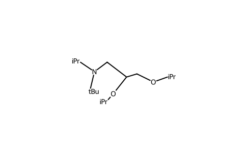 CC(C)OCC(CN(C(C)C)C(C)(C)C)OC(C)C